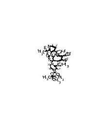 Cc1ccnc(C(C)(F)F)c1-n1c(=O)nc(N2CCN(C(=O)OC(C)(C)C)C[C@@H]2C)c2cc(F)c(Cl)nc21